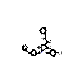 O=C(NCc1ccccc1)c1c[nH]/c(=N\c2ccc(Oc3ccon3)cc2)n(Cc2ccc(Cl)cc2)c1=O